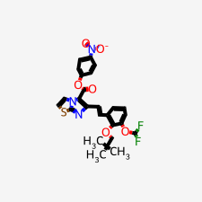 CC(C)(C)COc1c(/C=C/c2nc3sccn3c2C(=O)Oc2ccc([N+](=O)[O-])cc2)cccc1OC(F)F